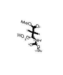 COC(=O)C(C)(C)[C@H](NC(=O)OC(C)(C)C)C(=O)O